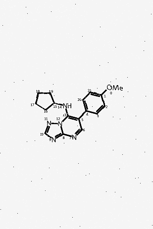 COc1ccc(-c2cnc3ncnn3c2NC2CCCC2)cc1